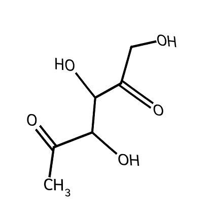 CC(=O)C(O)C(O)C(=O)CO